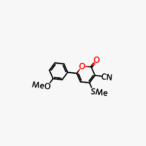 COc1cccc(-c2cc(SC)c(C#N)c(=O)o2)c1